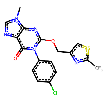 Cn1cnc2c(=O)n(-c3ccc(Cl)cc3)c(OCc3csc(C(F)(F)F)n3)nc21